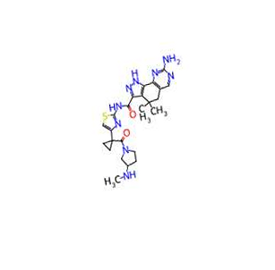 CNC1CCN(C(=O)C2(c3csc(NC(=O)c4n[nH]c5c4C(C)(C)Cc4cnc(N)nc4-5)n3)CC2)C1